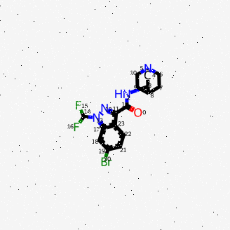 O=C(NC1CN2CCC1CC2)c1nn(C(F)F)c2cc(Br)ccc12